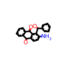 Nc1ccc2c(c1C(=O)c1ccccc1)C(=O)c1ccccc1C2=O